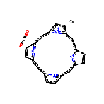 C1=Cc2cc3ccc(cc4nc(cc5ccc(cc1n2)[nH]5)C=C4)[nH]3.O=C=O.[Co]